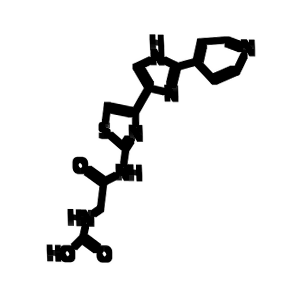 O=C(O)NCC(=O)Nc1nc(-c2c[nH]c(-c3ccncc3)n2)cs1